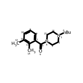 CCCCN1CCN(C(=O)c2cccc(C)c2C)CC1